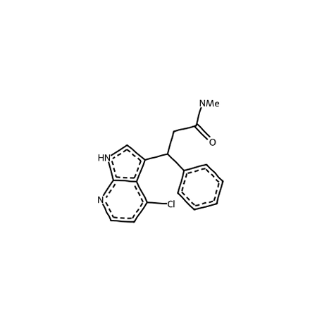 CNC(=O)CC(c1ccccc1)c1c[nH]c2nccc(Cl)c12